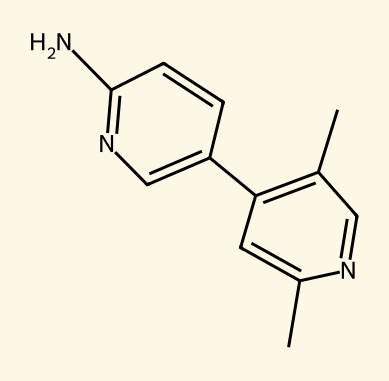 Cc1cc(-c2ccc(N)nc2)c(C)cn1